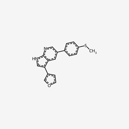 CSc1ccc(-c2cnc3[nH]cc(-c4ccoc4)c3c2)cc1